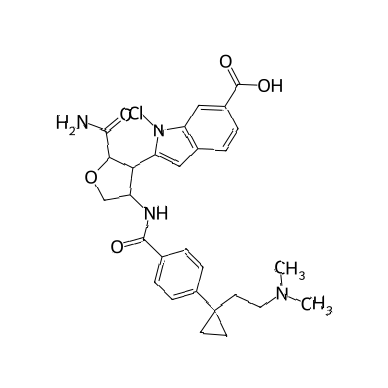 CN(C)CCC1(c2ccc(C(=O)NC3COC(C(N)=O)C3c3cc4ccc(C(=O)O)cc4n3Cl)cc2)CC1